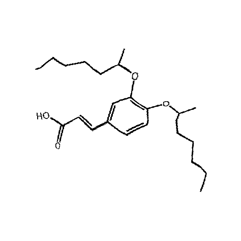 CCCCCC(C)Oc1ccc(C=CC(=O)O)cc1OC(C)CCCCC